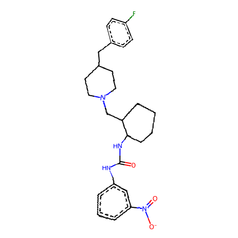 O=C(Nc1cccc([N+](=O)[O-])c1)NC1CCCCC1CN1CCC(Cc2ccc(F)cc2)CC1